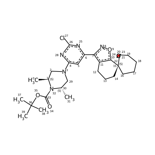 C[C@H]1CN(c2cc(-c3noc4c3CCC[C@@]43CCCCC34OCCO4)nc(Cl)n2)C[C@H](C)N1C(=O)OC(C)(C)C